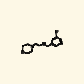 Brc1cncc(COCCN2CCOCC2)c1